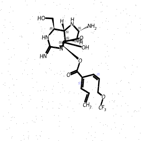 C=C/C=C(\C=C/COC(F)(F)F)C(=O)O[C@H]1CN2C(=N)N[C@@H](CO)[C@@H]3N[C@H](N)N[C@@]32C1(O)O